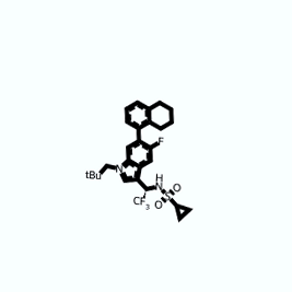 CC(C)(C)Cn1cc([C@H](NS(=O)(=O)C2CC2)C(F)(F)F)c2cc(F)c(-c3cccc4c3CCCC4)cc21